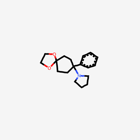 c1ccc(C2(N3CCCC3)CCC3(CC2)OCCO3)cc1